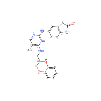 O=C1Cc2cc(Nc3ncc(C(F)(F)F)c(NCC4COc5ccccc5O4)n3)ccc2N1